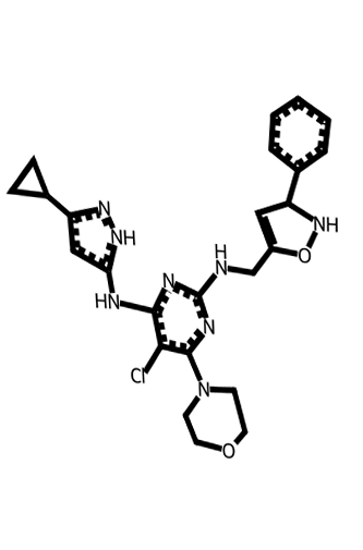 Clc1c(Nc2cc(C3CC3)n[nH]2)nc(NCC2=CC(c3ccccc3)NO2)nc1N1CCOCC1